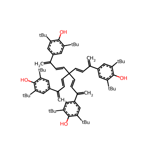 C=C(C=CC(C=CC(=C)c1cc(C(C)(C)C)c(O)c(C(C)(C)C)c1)(C=CC(=C)c1cc(C(C)(C)C)c(O)c(C(C)(C)C)c1)C=CC(=C)c1cc(C(C)(C)C)c(O)c(C(C)(C)C)c1)c1cc(C(C)(C)C)c(O)c(C(C)(C)C)c1